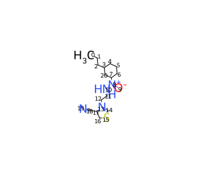 CCCC1CCCC([NH+]([O-])NCCN2CSCC2C#N)C1